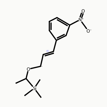 CC(O[CH]/C=C/c1cccc([N+](=O)[O-])c1)[Si](C)(C)C